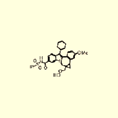 COc1ccc2c(c1)C1CC1(COO)Cn1c-2c(C2CCCCC2)c2ccc(C(=O)NS(=O)(=O)C(C)C)cc21